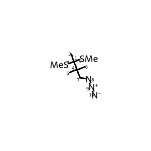 CSC(C)(SC)C(C)(C)CN=[N+]=[N-]